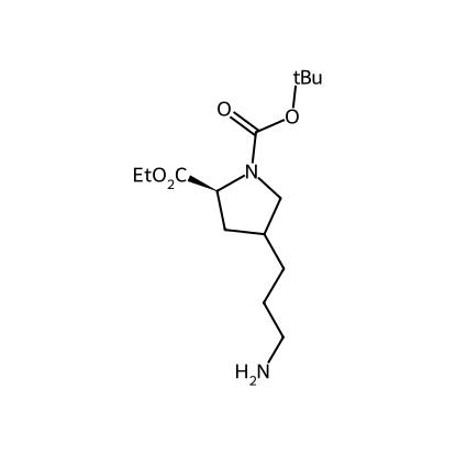 CCOC(=O)[C@@H]1CC(CCCN)CN1C(=O)OC(C)(C)C